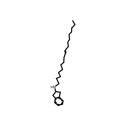 CCCCCCCCC=CCCCCCCCCNC1Cc2ccccc2C1